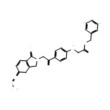 CSN=C=C1C=CC2=C(C1)CN(CC(=O)c1ccc(OCC(=O)OCc3ccccc3)cc1)C2=O